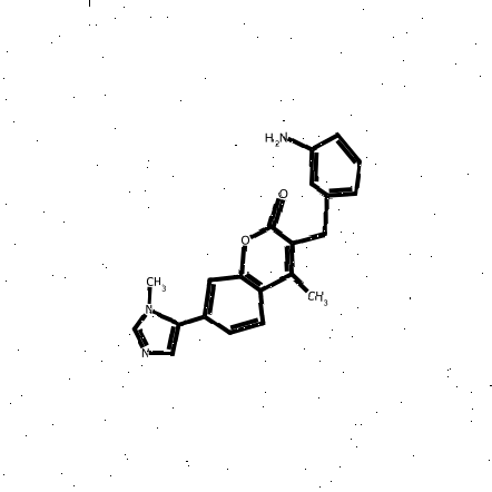 Cc1c(Cc2cccc(N)c2)c(=O)oc2cc(-c3cncn3C)ccc12